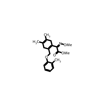 CON=C(C(=O)OC)C1=C(COc2ccccc2C)CC(C)=C(C)C1